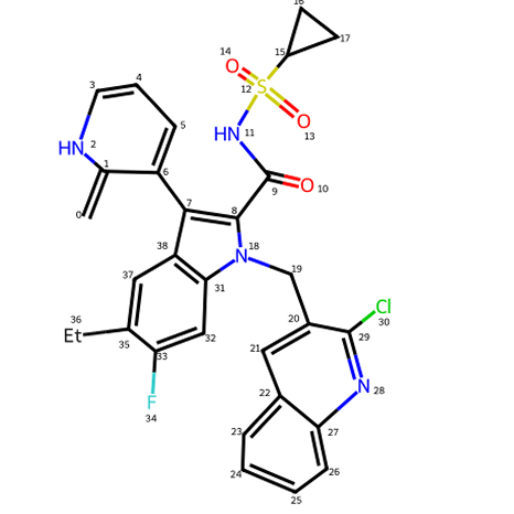 C=C1NC=CC=C1c1c(C(=O)NS(=O)(=O)C2CC2)n(Cc2cc3ccccc3nc2Cl)c2cc(F)c(CC)cc12